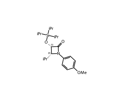 COc1ccc(N2C(=O)[C@@H](O[Si](C(C)C)(C(C)C)C(C)C)[C@H]2C(C)C)cc1